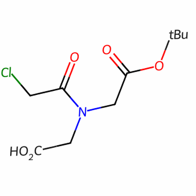 CC(C)(C)OC(=O)CN(CC(=O)O)C(=O)CCl